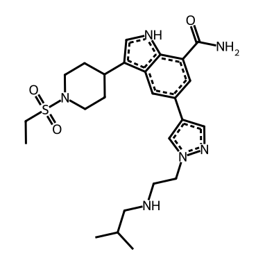 CCS(=O)(=O)N1CCC(c2c[nH]c3c(C(N)=O)cc(-c4cnn(CCNCC(C)C)c4)cc23)CC1